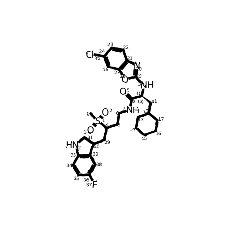 CS(=O)(=O)C(CCNC(=O)[C@H](CC1CCCCC1)Nc1nc2ccc(Cl)cc2o1)CC1CNc2ccc(F)cc21